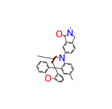 Cc1ccc2c(c1)C1(c3ccccc3Oc3ccccc31)c1cc(C)ccc1N2c1ccc2c(c1)C(=O)N(C)C2